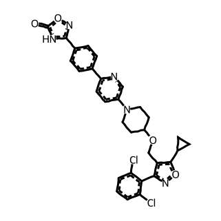 O=c1[nH]c(-c2ccc(-c3ccc(N4CCC(OCc5c(-c6c(Cl)cccc6Cl)noc5C5CC5)CC4)cn3)cc2)no1